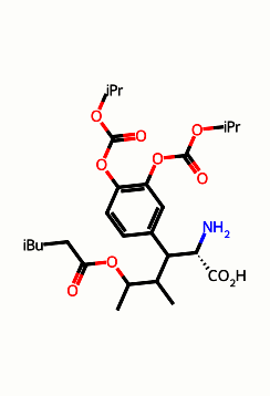 CCC(C)CC(=O)OC(C)C(C)C(c1ccc(OC(=O)OC(C)C)c(OC(=O)OC(C)C)c1)[C@H](N)C(=O)O